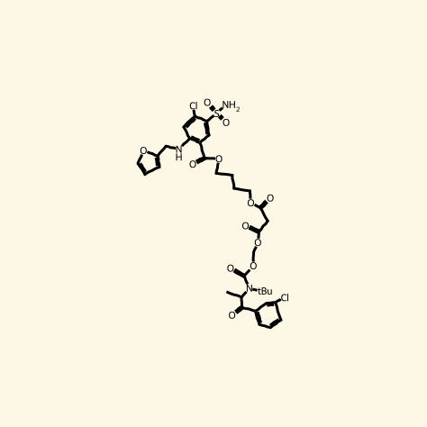 CC(C(=O)c1cccc(Cl)c1)N(C(=O)OCOC(=O)CC(=O)OCCCCOC(=O)c1cc(S(N)(=O)=O)c(Cl)cc1NCc1ccco1)C(C)(C)C